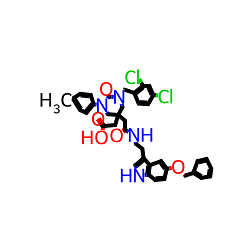 Cc1ccc(N2CC(CC(=O)O)(CC(=O)NCCc3c[nH]c4ccc(OCc5ccccc5)cc34)CN(Cc3ccc(Cl)cc3Cl)C2=O)cc1